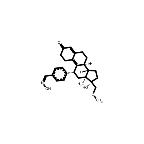 COC[C@]1(O)CC[C@H]2[C@@H]3CCC4=CC(=O)CCC4=C3[C@@H](c3ccc(/C=N\O)cc3)C[C@@]21C